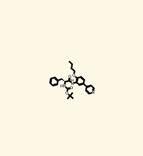 CCCCOc1ccc(-c2ccncc2)cc1NC(=O)[C@H](Cc1ccccc1)NC(=O)OC(C)(C)C